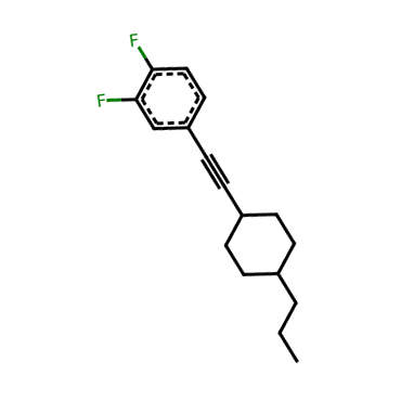 CCCC1CCC(C#Cc2ccc(F)c(F)c2)CC1